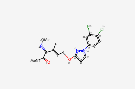 CNC(=O)C(=N/OC)/C(C)=C/COc1ccn(-c2ccc(Cl)c(F)c2)n1